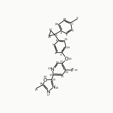 Cc1ccc(C2(c3ccc(Oc4cnc(-c5nnc(C)o5)cc4F)cc3)CC2)cc1